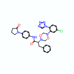 O=C(Nc1ccc(N2CCCC2=O)cc1)C(Cc1ccccc1)N1CON(c2cc(Cl)ccc2-n2cnnn2)CO1